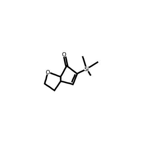 C[Si](C)(C)C1=CC2CCOC2C1=O